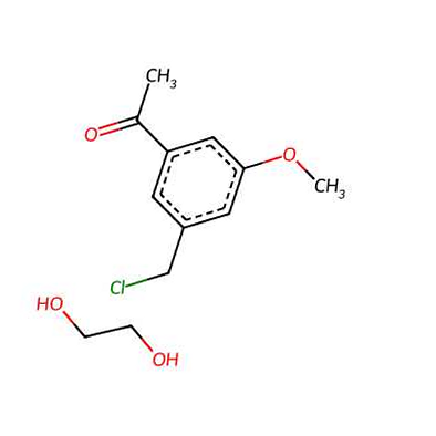 COc1cc(CCl)cc(C(C)=O)c1.OCCO